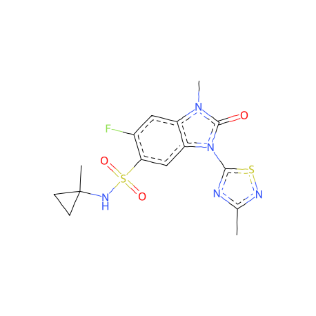 Cc1nsc(-n2c(=O)n(C)c3cc(F)c(S(=O)(=O)NC4(C)CC4)cc32)n1